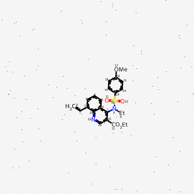 C=Cc1cccc2c(N(CC)S(=O)(=O)c3ccc(OC)cc3)c(C(=O)OCC)cnc12